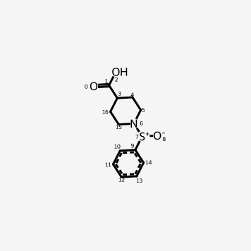 O=C(O)C1CCN([S+]([O-])c2ccccc2)CC1